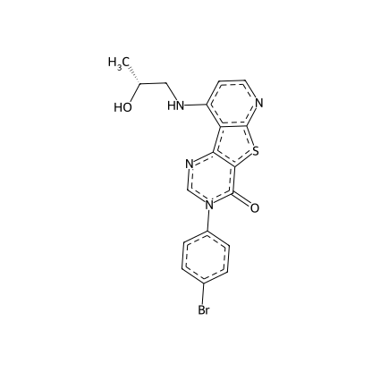 C[C@@H](O)CNc1ccnc2sc3c(=O)n(-c4ccc(Br)cc4)cnc3c12